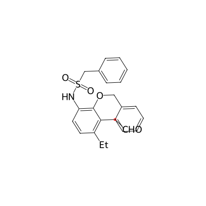 CCc1ccc(NS(=O)(=O)Cc2ccccc2)c(OCc2ccccc2)c1CC=O